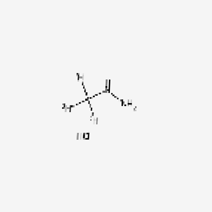 Cl.[2H]C([2H])([2H])NN